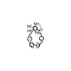 N#Cc1c(N)cc(C(=O)NCC2CCN(Cc3cnc(-c4ccccn4)s3)CC2)nc1NCCN1CCOCC1